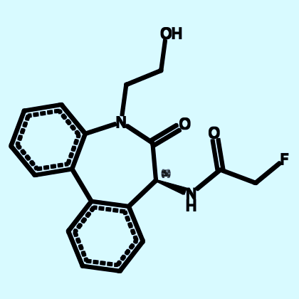 O=C(CF)N[C@@H]1C(=O)N(CCO)c2ccccc2-c2ccccc21